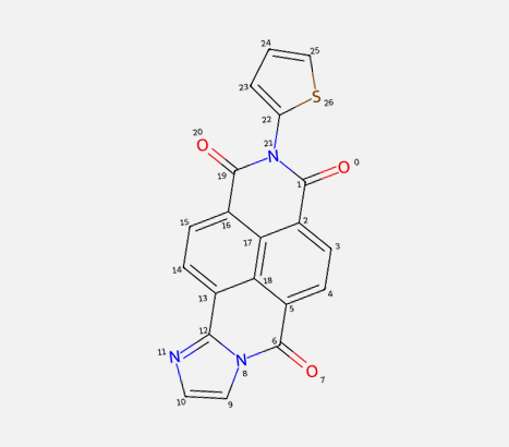 O=C1c2ccc3c(=O)n4ccnc4c4ccc(c2c34)C(=O)N1c1cccs1